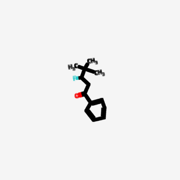 CC(C)(C)C(F)CC(=O)c1ccccc1